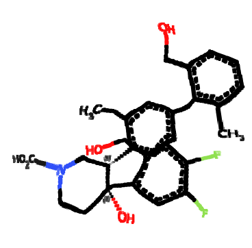 Cc1cc(-c2c(C)cccc2CO)ccc1[C@H]1CN(C(=O)O)CC[C@]1(O)c1cc(F)c(F)cc1CO